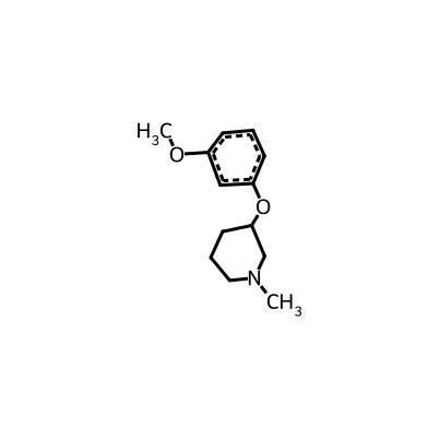 COc1cccc(OC2CCCN(C)C2)c1